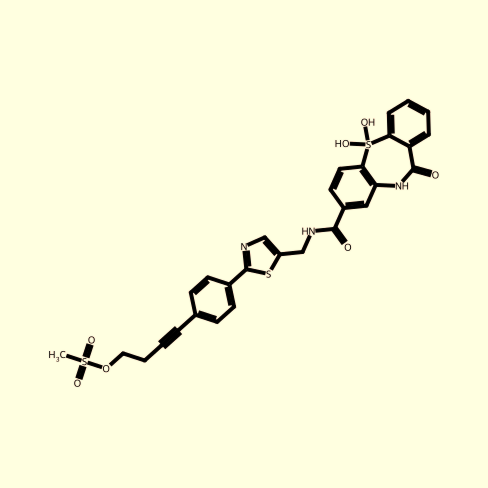 CS(=O)(=O)OCCC#Cc1ccc(-c2ncc(CNC(=O)c3ccc4c(c3)NC(=O)c3ccccc3S4(O)O)s2)cc1